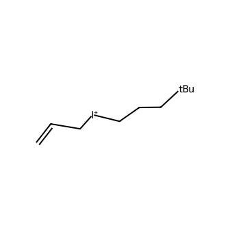 C=CC[I+]CCCC(C)(C)C